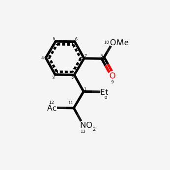 CCC(c1ccccc1C(=O)OC)C(C(C)=O)[N+](=O)[O-]